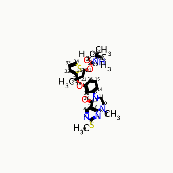 CSc1ncc2c(n1)N(C)CCN(c1cccc(OC(C)(CCOC(=O)NC(C)(C)C)c3cccs3)c1)C2=O